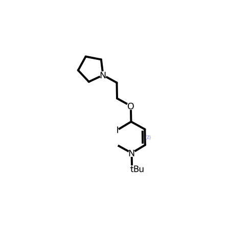 CN(/C=C\C(I)OCCN1CCCC1)C(C)(C)C